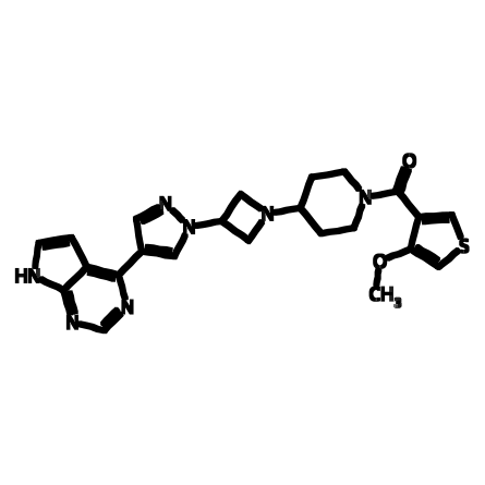 COc1cscc1C(=O)N1CCC(N2CC(n3cc(-c4ncnc5[nH]ccc45)cn3)C2)CC1